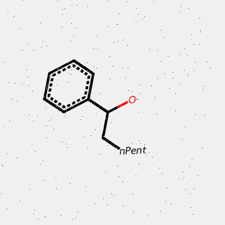 CCCCCCC([O])c1ccccc1